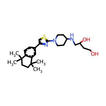 CC1(C)CCC(C)(C)c2cc(-c3csc(N4CCC(NCC(O)CCO)CC4)n3)ccc21